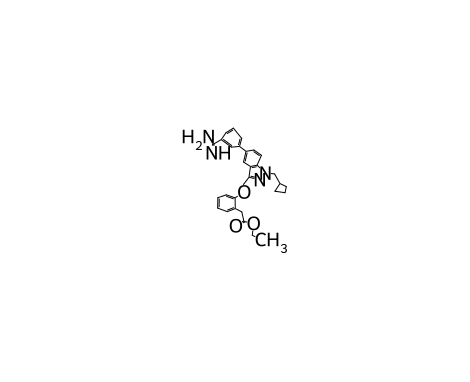 CCOC(=O)Cc1ccccc1OCc1nn(CC2CCC2)c2ccc(-c3cccc(C(=N)N)c3)cc12